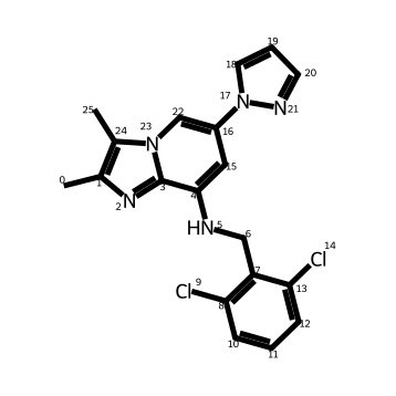 Cc1nc2c(NCc3c(Cl)cccc3Cl)cc(-n3cccn3)cn2c1C